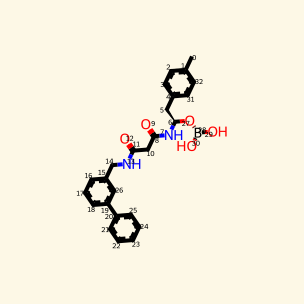 Cc1ccc(C[C@H](NC(=O)CC(=O)NCc2cccc(-c3ccccc3)c2)OB(O)O)cc1